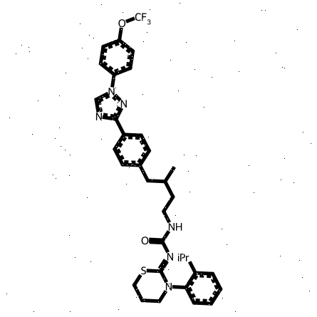 CC(CCNC(=O)/N=C1\SCCCN1c1ccccc1C(C)C)Cc1ccc(-c2ncn(-c3ccc(OC(F)(F)F)cc3)n2)cc1